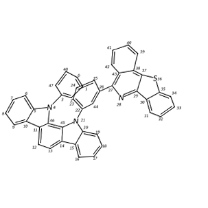 c1ccc(-n2c3ccccc3c3ccc4c5ccccc5n(-c5cccc(-c6nc7c8ccccc8sc7c7ccccc67)c5)c4c32)cc1